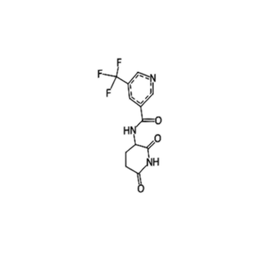 O=C1CCC(NC(=O)c2cncc(C(F)(F)F)c2)C(=O)N1